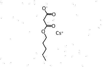 CCCCCOC(=O)CC(=O)[O-].[Cs+]